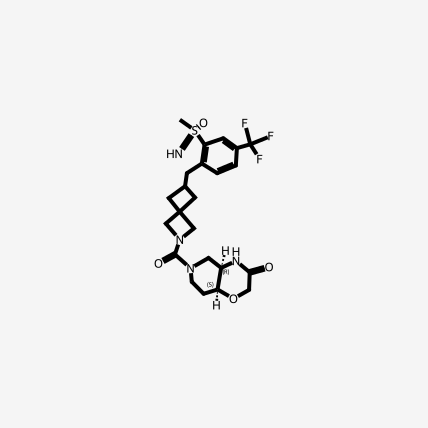 CS(=N)(=O)c1cc(C(F)(F)F)ccc1CC1CC2(C1)CN(C(=O)N1CC[C@@H]3OCC(=O)N[C@@H]3C1)C2